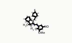 COC1=CC(N=O)=C/C(=C/C=C2\N(Cc3ccc(F)cc3)c3ccccc3C2(C)C)C1=O